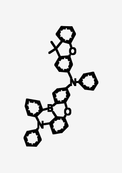 CC1(C)c2ccccc2Oc2cc(N(c3ccccc3)c3ccc4c(c3)Oc3cccc5c3B4c3ccccc3N5c3ccccc3)ccc21